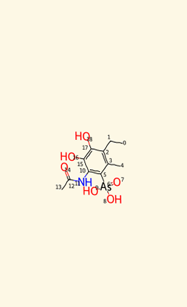 CCc1c(C)c([As](=O)(O)O)c(NC(C)=O)c(O)c1O